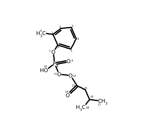 Cc1ccccc1OP(=O)(O)OOC(=O)CC(C)C